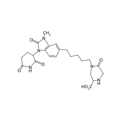 Cn1c(=O)n(C2CCC(=O)NC2=O)c2ccc(CCCCCN3CC(C(=O)O)NCC3=O)cc21